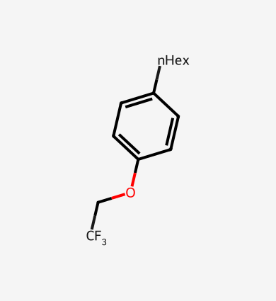 CCCCCCc1ccc(OCC(F)(F)F)cc1